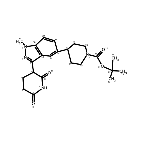 Cn1nc(C2CCC(=O)NC2=O)c2cc(C3CCN(C(=O)OC(C)(C)C)CC3)ccc21